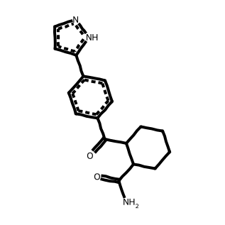 NC(=O)C1CCCCC1C(=O)c1ccc(-c2ccn[nH]2)cc1